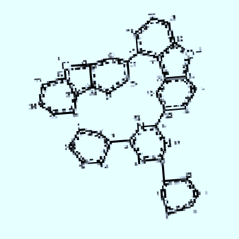 c1ccc(-c2nc(-c3ccccc3)nc(-c3ccc4oc5cccc(-c6ccc7c(c6)oc6ccccc67)c5c4c3)n2)cc1